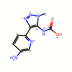 Cn1nnc(-c2ccc(N)cn2)c1NC(=O)O